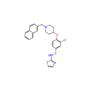 Clc1cc(SNc2nccs2)ccc1OC1CCN(Cc2ccc3ccccc3c2)CC1